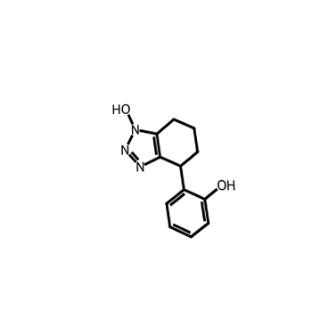 Oc1ccccc1C1CCCc2c1nnn2O